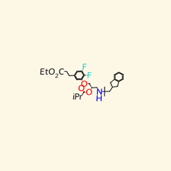 CCOC(=O)CCc1cc(F)c(F)c(OC[C@@H](CNC(C)(C)CC2Cc3ccccc3C2)OC(=O)C(C)C)c1